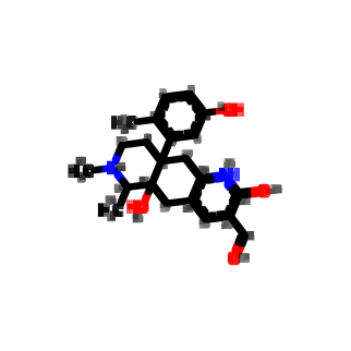 Cc1ccc(O)cc1C12CCN(C)C(C)C1(O)Cc1cc(C=O)c(=O)[nH]c1C2